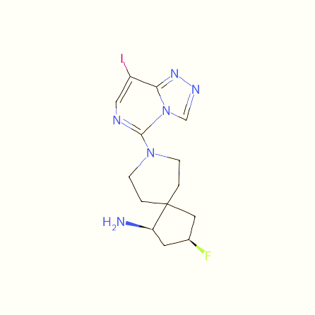 N[C@@H]1C[C@H](F)CC12CCN(c1ncc(I)c3nncn13)CC2